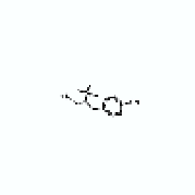 C[Si](C)(C)C(CN)Cc1ccc(C#N)cc1